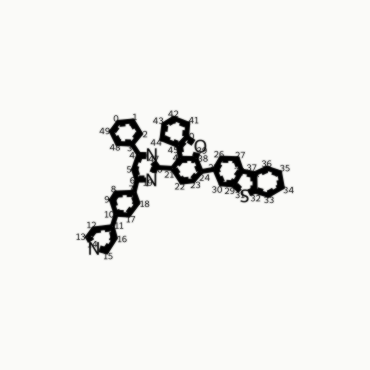 c1ccc(-c2cc(-c3ccc(-c4ccncc4)cc3)nc(-c3ccc(-c4ccc5c(c4)sc4ccccc45)c4oc5ccccc5c34)n2)cc1